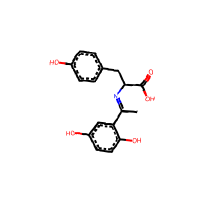 CC(=NC(Cc1ccc(O)cc1)C(=O)O)c1cc(O)ccc1O